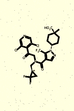 C[C@]1(C(=O)O)CC[C@H](n2ncc(C(=O)N(CC(=O)c3c(Cl)cncc3Cl)C[C@H]3CC3(F)F)c2C(F)(F)F)CC1